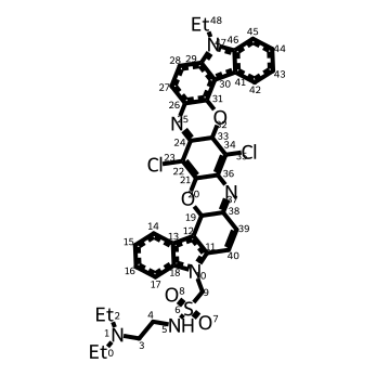 CCN(CC)CCNS(=O)(=O)Cn1c2c(c3ccccc31)C1OC3=C(Cl)C4=Nc5ccc6c(c5OC4C(Cl)=C3N=C1C=C2)c1ccccc1n6CC